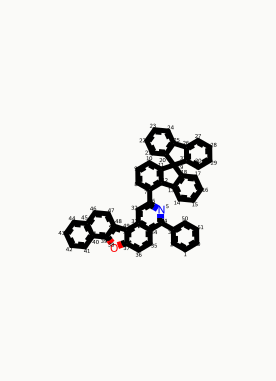 c1ccc(-c2nc(-c3cccc4c3-c3ccccc3C43c4ccccc4-c4ccccc43)cc3c2ccc2oc4c5ccccc5ccc4c23)cc1